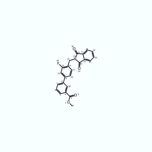 COC(=O)c1cccc(-c2ccc(CN3C(=O)c4ccccc4C3=O)c(F)c2)c1